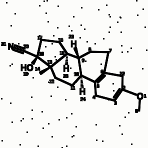 COC1=CCC2=C(CC[C@@H]3[C@@H]2CC[C@@]2(C)[C@H]3CC[C@@]2(O)C#N)C1